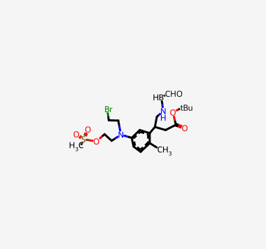 Cc1ccc(N(CCBr)CCOS(C)(=O)=O)cc1C(CNBC=O)CC(=O)OC(C)(C)C